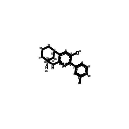 Cc1cc(-c2nc3c(cc2Cl)N2CCC[C@@H](C2)N3)ccn1